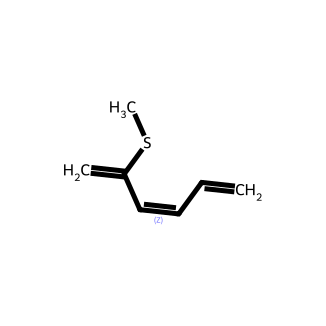 C=C/C=C\C(=C)SC